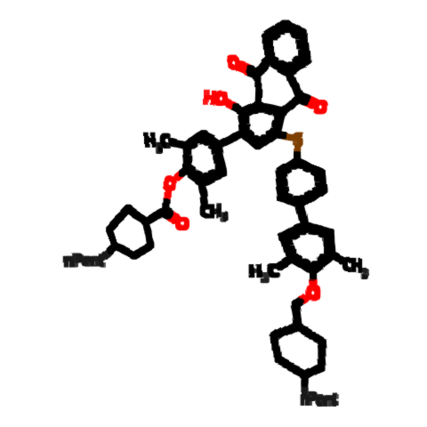 CCCCCC1CCC(COc2c(C)cc(-c3ccc(Sc4cc(-c5cc(C)c(OC(=O)C6CCC(CCCCC)CC6)c(C)c5)c(O)c5c4C(=O)c4ccccc4C5=O)cc3)cc2C)CC1